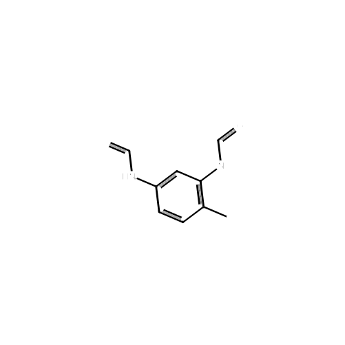 Cc1ccc(N[C]=O)cc1N[C]=O